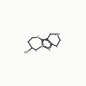 OC1CCSc2c3c(nn2C1)CCNC3